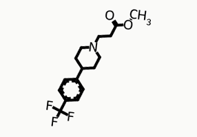 COC(=O)CCN1CCC(c2ccc(C(F)(F)F)cc2)CC1